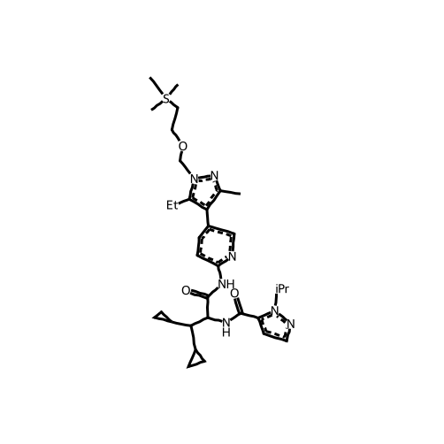 CCc1c(-c2ccc(NC(=O)C(NC(=O)c3ccnn3C(C)C)C(C3CC3)C3CC3)nc2)c(C)nn1COCCS(C)(C)C